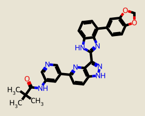 CC(C)(C)C(=O)Nc1cncc(-c2ccc3[nH]nc(-c4nc5c(-c6ccc7c(c6)OCO7)cccc5[nH]4)c3n2)c1